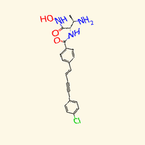 C[C@@H](N)[C@H](NC(=O)c1ccc(/C=C/C#Cc2ccc(Cl)cc2)cc1)C(=O)NO